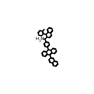 CC1=C(C2c3ccccc3C=CC2C(N)c2ccc(C3c4ccccc4C(c4ccc5ccccc5c4)=C4C=CC=CC43)cc2)CCC=C1